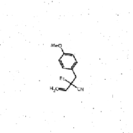 C=CC(C#N)(CC)Cc1ccc(OC)cc1